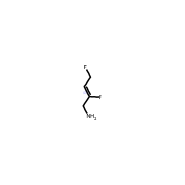 NC/C(F)=C/CF